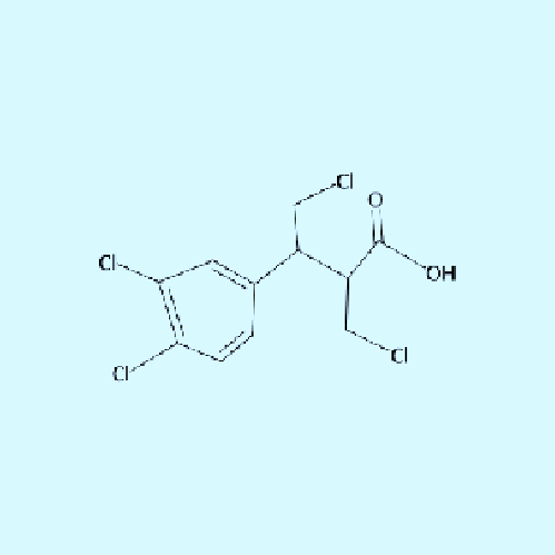 O=C(O)C(CCl)C(CCl)c1ccc(Cl)c(Cl)c1